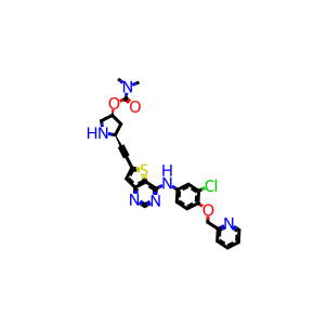 CN(C)C(=O)O[C@@H]1CN[C@H](C#Cc2cc3ncnc(Nc4ccc(OCc5ccccn5)c(Cl)c4)c3s2)C1